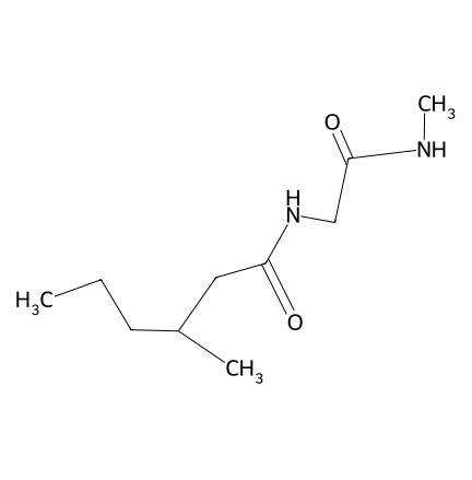 CCCC(C)CC(=O)NCC(=O)NC